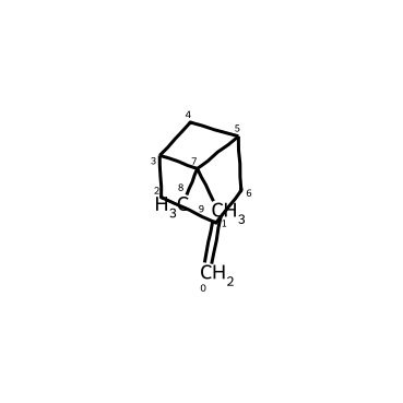 C=C1CC2CC(C1)C2(C)C